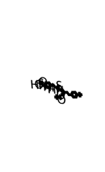 CC(C)(C)C(=O)OCC(CCc1ccc(C(C)(C)C)cc1)CNC(=S)NCc1ccc(NS(C)(=O)=O)cc1